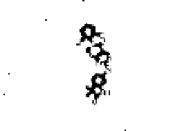 CC1(C)C(=O)Nc2cc(Nc3ncc4c(n3)SCN(c3c(Cl)cccc3Cl)C4=O)ccc21